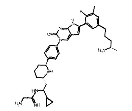 Cc1cc(CCC[C@H](C)N)cc(-c2cc3cn(-c4ccc([C@@H]5CCC[C@@H](CC(NC(=N)CN)C6CC6)N5)cc4)c(=O)nc3[nH]2)c1F